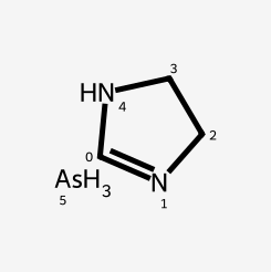 C1=NCCN1.[AsH3]